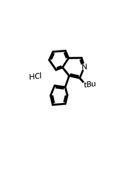 CC(C)(C)c1ncc2ccccc2c1-c1ccccc1.Cl